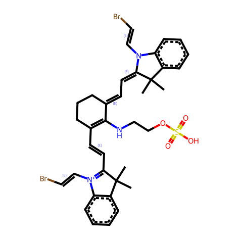 CC1(C)C(/C=C/C2=C(NCCOS(=O)(=O)O)C(=C/C=C3/N(/C=C/Br)c4ccccc4C3(C)C)/CCC2)=[N+](/C=C/Br)c2ccccc21